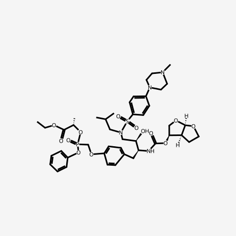 CCOC(=O)[C@H](C)OP(=O)(COc1ccc(C[C@H](NC(=O)O[C@H]2CO[C@H]3OCC[C@H]32)[C@H](O)CN(CC(C)C)S(=O)(=O)c2ccc(N3CCN(C)CC3)cc2)cc1)Oc1ccccc1